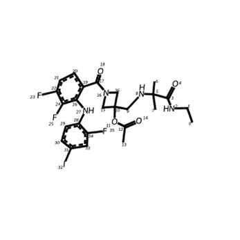 CCNC(=O)C(C)(C)NCC1(OC(C)=O)CN(C(=O)c2ccc(F)c(F)c2Nc2ccc(I)cc2F)C1